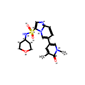 Cc1cc(-c2ccc3ncc(S(=O)(=O)NC4CCOCC4)n3c2)cn(C)c1=O